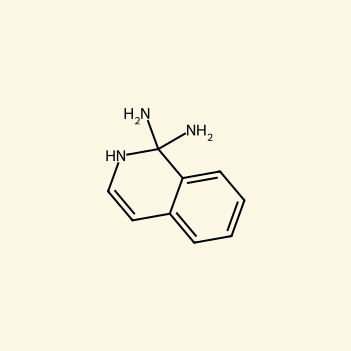 NC1(N)NC=Cc2ccccc21